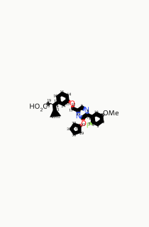 COc1ccc(F)c(-c2ncc(COc3cccc([C@@H](CC(=O)O)C4CC4)c3)nc2OC2CCCC2)c1